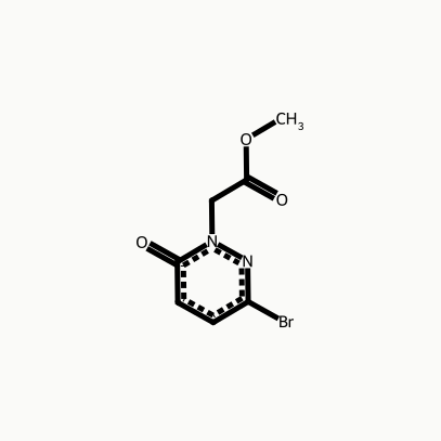 COC(=O)Cn1nc(Br)ccc1=O